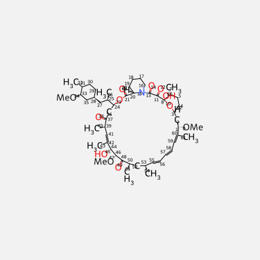 CO[C@H]1C[C@@H]2CC[C@@H](C)[C@@](O)(O2)C(=O)C(=O)N2CCCC[C@H]2C(=O)OC([C@H](C)C[C@@H]2CCC(C)[C@H](OC)C2)CC(=O)[C@H](C)/C=C(\C)[C@@H](O)[C@@H](OC)C(=O)[C@H](C)C[C@H](C)/C=C/C=C/C=C/1C